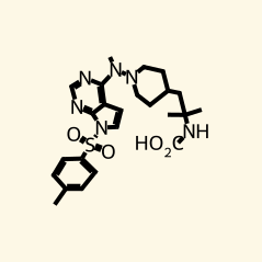 Cc1ccc(S(=O)(=O)n2ccc3c(N(C)N4CCC(CC(C)(C)NC(=O)O)CC4)ncnc32)cc1